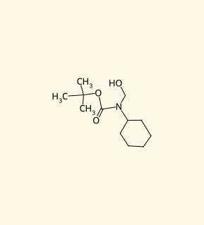 CC(C)(C)OC(=O)N(CO)C1CCCCC1